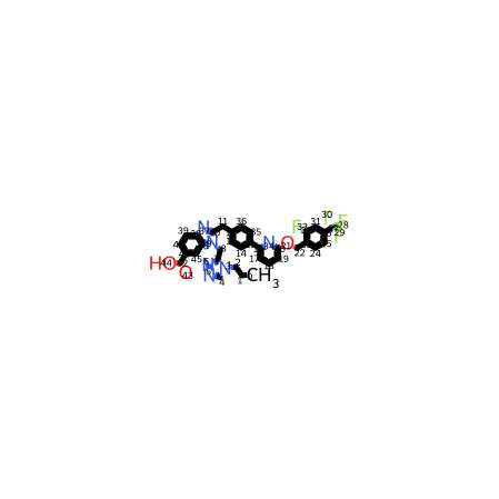 CCCn1cnnc1Cn1c(Cc2ccc(-c3cccc(OCc4ccc(C(F)(F)F)cc4F)n3)cc2)nc2ccc(C(=O)O)cc21